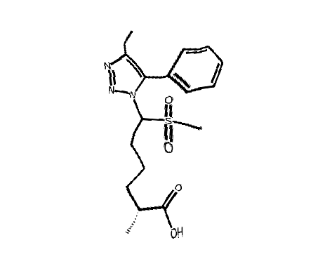 Cc1nnn(C(CCC[C@@H](C)C(=O)O)S(C)(=O)=O)c1-c1ccccc1